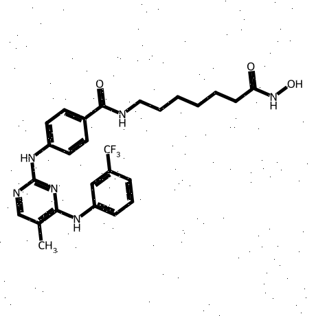 Cc1cnc(Nc2ccc(C(=O)NCCCCCCC(=O)NO)cc2)nc1Nc1cccc(C(F)(F)F)c1